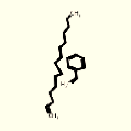 C=CCCCCCCCCCCCCC.C=Cc1ccccc1